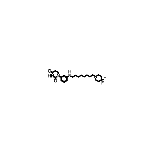 O=C1CCN(c2cccc(NCCCCCCCCN3CCC(F)(F)CC3)c2)C(=O)N1